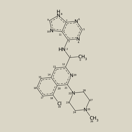 CC(Nc1ncnc2[nH]cnc12)c1cc2cccc(Cl)c2c(N2CCN(C)CC2)n1